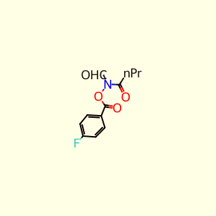 CCCC(=O)N(C=O)OC(=O)c1ccc(F)cc1